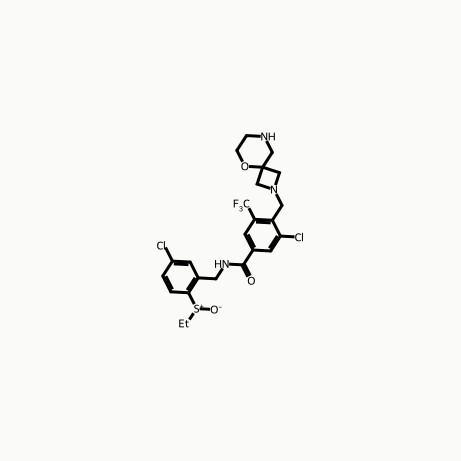 CC[S+]([O-])c1ccc(Cl)cc1CNC(=O)c1cc(Cl)c(CN2CC3(CNCCO3)C2)c(C(F)(F)F)c1